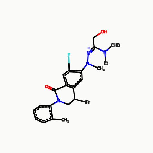 CCN(C=O)/C(CO)=N\N(C)c1cc2c(cc1F)C(=O)N(c1ccccc1C)CC2C(C)C